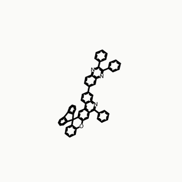 c1ccc(-c2nc3ccc(-c4ccc5c(c4)nc(-c4ccccc4)c4cc6c(cc45)C4(c5ccccc5O6)c5ccccc5-c5ccccc54)cc3nc2-c2ccccc2)cc1